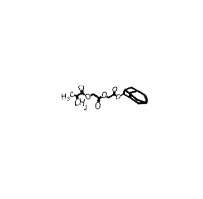 C=C(C)C(=O)OCC(=O)OCC(=O)OC1C2CC3CC(C2)CC1C3